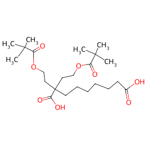 CC(C)(C)C(=O)OCCC(CCCCCCC(=O)O)(CCOC(=O)C(C)(C)C)C(=O)O